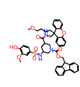 COCCCCC1(CNC(=O)C2CC(NS(=O)(=O)c3ccc(O)c(OC)c3)CN(C(=O)OCC3c4ccccc4-c4ccccc43)C2)c2ccccc2Oc2ccccc21